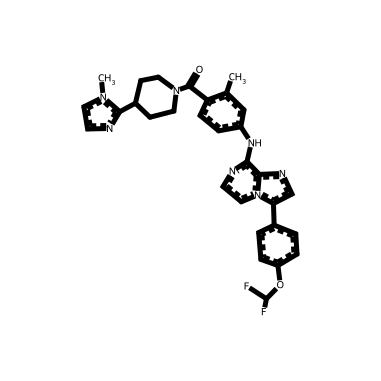 Cc1cc(Nc2nccn3c(-c4ccc(OC(F)F)cc4)cnc23)ccc1C(=O)N1CCC(c2nccn2C)CC1